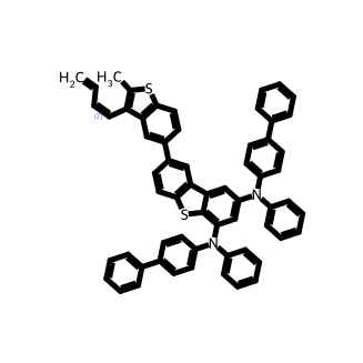 C=C/C=C\c1c(C)sc2ccc(-c3ccc4sc5c(N(c6ccccc6)c6ccc(-c7ccccc7)cc6)cc(N(c6ccccc6)c6ccc(-c7ccccc7)cc6)cc5c4c3)cc12